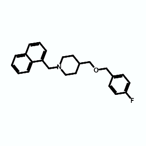 Fc1ccc(COCC2CCN(Cc3cccc4ccccc34)CC2)cc1